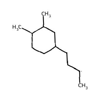 C[CH]CCC1CCC(C)C(C)C1